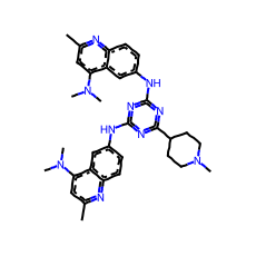 Cc1cc(N(C)C)c2cc(Nc3nc(Nc4ccc5nc(C)cc(N(C)C)c5c4)nc(C4CCN(C)CC4)n3)ccc2n1